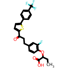 CCC(Oc1ccc(CCC(=O)c2ccc(-c3ccc(C(F)(F)F)cc3)s2)cc1F)C(=O)O